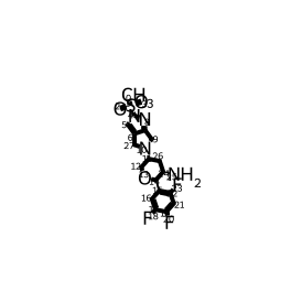 CS(=O)(=O)n1cc2c(n1)CN([C@H]1CO[C@H](c3cc(F)c(F)cc3F)[C@@H](N)C1)C2